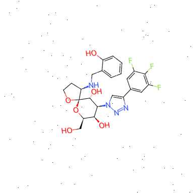 OC[C@H]1O[C@]2(OCC[C@H]2NCc2ccccc2O)[C@H](O)[C@@H](n2cc(-c3cc(F)c(F)c(F)c3)nn2)[C@H]1O